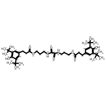 CC(C)(C)c1cc(CCC(=O)OCCCNC(=O)C(=O)NCCCOC(=O)CCc2cc(C(C)(C)C)c(O)c(C(C)(C)C)c2)cc(C(C)(C)C)c1O